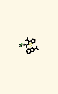 CC(C)=C1C2C=CC=C2SC1C(C)C.CC(C)C1=Cc2ccccc2C1.[Cl-].[Cl-].[Zr+2]